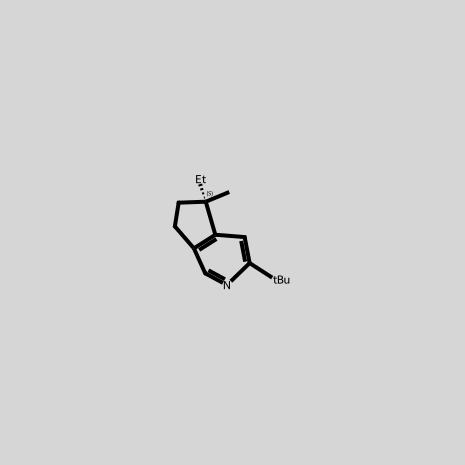 CC[C@@]1(C)CCc2cnc(C(C)(C)C)cc21